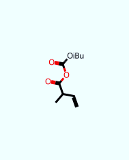 C=CC(C)C(=O)OC(=O)OCC(C)C